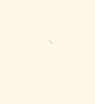 c1ccc(-c2ccccc2-c2ccc(Nc3cc4ccccc4c4ccccc34)cc2-c2ccccc2)cc1